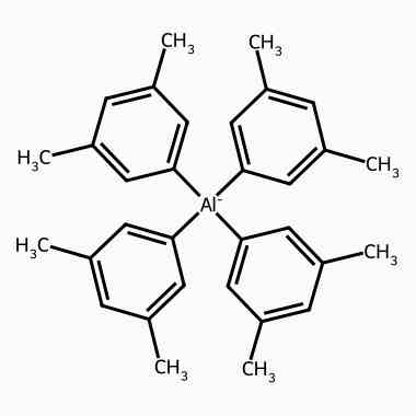 Cc1cc(C)c[c]([Al-]([c]2cc(C)cc(C)c2)([c]2cc(C)cc(C)c2)[c]2cc(C)cc(C)c2)c1